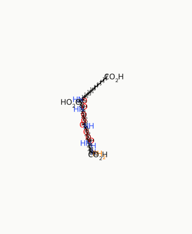 O=C(O)CCCCCCCCCCCCCCCCC(=O)N[C@@H](CCC(=O)NCCOCCOCC(=O)NCCOCCOCC(=O)NCCCC[C@H](NP)C(=O)O)C(=O)O